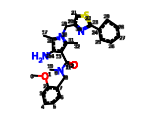 COc1ccccc1CN(C)C(=O)c1c(N)c(C)n(Cc2csc(-c3ccccc3)n2)c1C